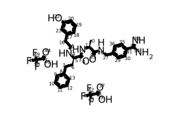 C[C@H](NC(=O)[C@@H](CCc1ccccc1)NCCc1cccc(O)c1)C(=O)NCc1ccc(C(=N)N)cc1.O=C(O)C(F)(F)F.O=C(O)C(F)(F)F